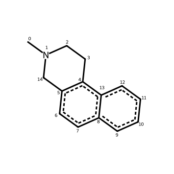 CN1CCc2c(ccc3ccccc23)C1